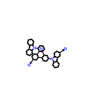 N#Cc1ccc(-c2ccccc2-n2c3ccccc3c3ccccc32)c(-c2ccc(-n3c4ccccc4c4cc(C#N)ccc43)cc2C#N)c1